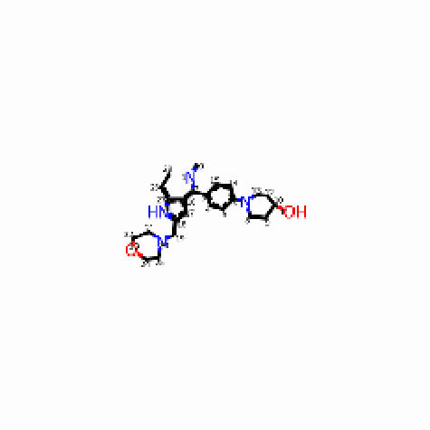 C=N/C(c1ccc(N2CCC(O)CC2)cc1)=c1/cc(CN2CCOCC2)[nH]/c1=C/C